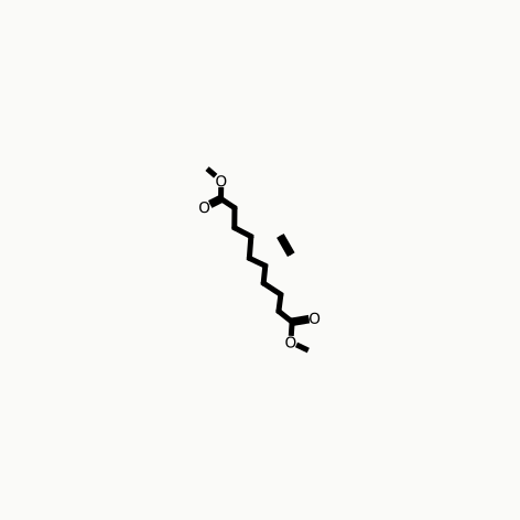 C=C.COC(=O)CCCCCCCCC(=O)OC